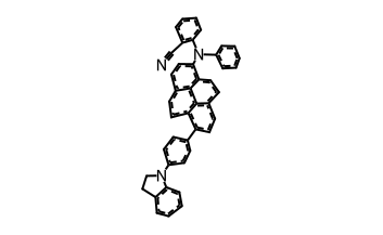 N#Cc1ccccc1N(c1ccccc1)c1ccc2ccc3c(-c4ccc(N5CCc6ccccc65)cc4)ccc4ccc1c2c43